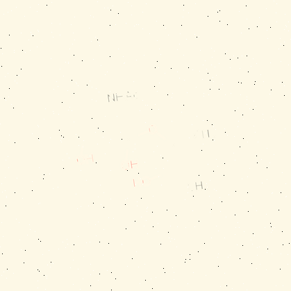 CC(=O)N[C@@H](CO)C(O)OC(C)[C@H](C)O